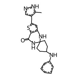 Cc1[nH]ncc1-c1cc2c(s1)C(=O)NC1(CCC(Nc3ccccc3)CC1)N2